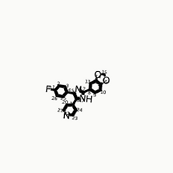 Fc1ccc(-c2nc(-c3ccc4c(c3)OCO4)[nH]c2-c2ccncc2)cc1